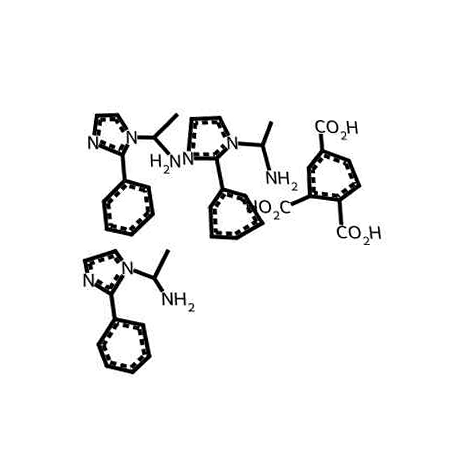 CC(N)n1ccnc1-c1ccccc1.CC(N)n1ccnc1-c1ccccc1.CC(N)n1ccnc1-c1ccccc1.O=C(O)c1ccc(C(=O)O)c(C(=O)O)c1